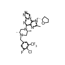 Cc1nc2c(N3C[C@@H](C)N(Cc4cc(F)c(Cl)c(C(F)(F)F)c4)C[C@@H]3C)nc3nncn3c2n1C[C@@H]1CCCO1